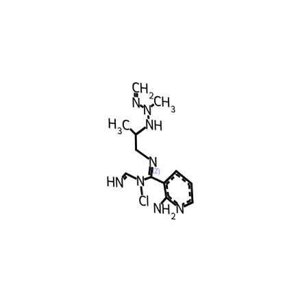 C=NN(C)NC(C)C/N=C(/c1cccnc1N)N(Cl)C=N